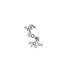 C=CCC(CC(=O)c1ccc2c(c1)COC21CN(C(=O)OC(C)(C)C)C1)(c1cc(Cl)c(F)c(Cl)c1)C(F)(F)F